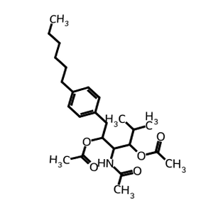 CCCCCCc1ccc(CC(OC(C)=O)C(NC(C)=O)C(OC(C)=O)C(C)C)cc1